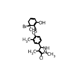 CC1=C(Cl)N(C)NC1c1ccc(OCC2=C(O)C=CC[C@]2(C)Br)c(C)c1